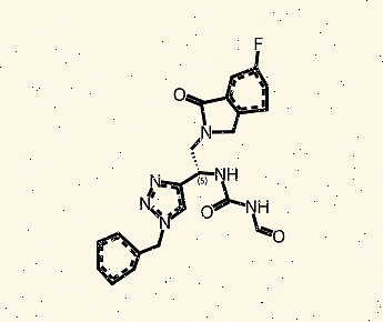 O=CNC(=O)N[C@@H](CN1Cc2ccc(F)cc2C1=O)c1cn(Cc2ccccc2)nn1